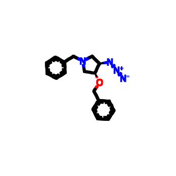 [N-]=[N+]=N[C@@H]1CN(Cc2ccccc2)C[C@H]1OCc1ccccc1